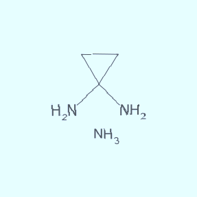 N.NC1(N)CC1